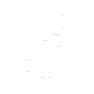 Cc1cc(C(C)(C)CC(C)(C)C)ccc1OCCOC(C)[N+](C)(C)Cc1ccccc1.[Cl-]